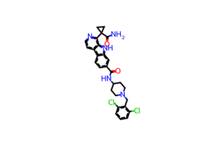 NC(=O)C1(c2nccc3c2[nH]c2cc(C(=O)NC4CCN(Cc5c(Cl)cccc5Cl)CC4)ccc23)CC1